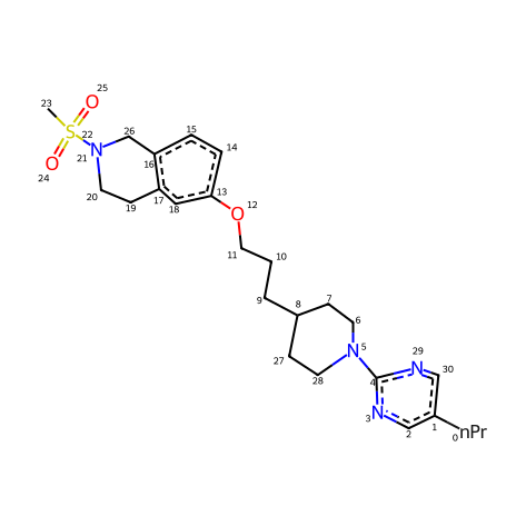 CCCc1cnc(N2CCC(CCCOc3ccc4c(c3)CCN(S(C)(=O)=O)C4)CC2)nc1